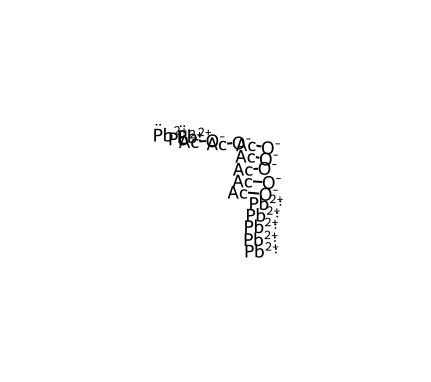 CC(=O)[O-].CC(=O)[O-].CC(=O)[O-].CC(=O)[O-].CC(=O)[O-].CC(=O)[O-].CC(=O)[O-].[Pb+2].[Pb+2].[Pb+2].[Pb+2].[Pb+2].[Pb+2].[Pb+2].[Pb+2]